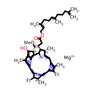 C=C(C)CCC/C(C)=C/CC/C(C)=C/COC(=O)CC[C@@H]1C2[N-]/C(=C\c3[nH]c(c(CC)c3C)/C=C3\[N-]/C(=C\c4[nH]c5c(c4C)=C(O)[C@H](C(=O)OC)C=52)C(CC)[C@H]3C)[C@H]1C.[Mg+2]